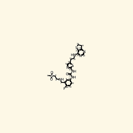 CS(=O)(=O)CCNCc1cc(NC(=O)Nc2ncc(CCNc3ncnc4c3SCC4)s2)ccc1F